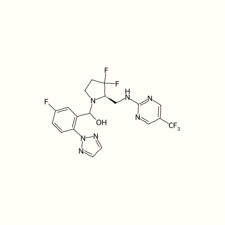 OC(c1cc(F)ccc1-n1nccn1)N1CCC(F)(F)[C@H]1CNc1ncc(C(F)(F)F)cn1